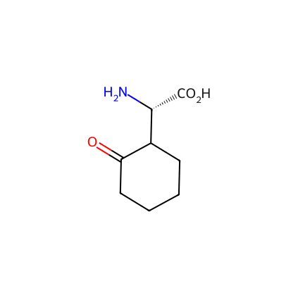 N[C@H](C(=O)O)C1CCCCC1=O